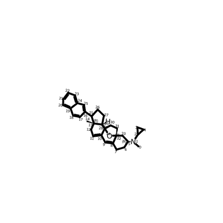 CN(C1CC1)[C@@H]1CCC2=CC3=CC[C@]4(C)C(c5ccc6ccccc6c5)CC[C@H]4C34CC[C@]2(C1)O4